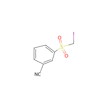 N#Cc1cccc(S(=O)(=O)CI)c1